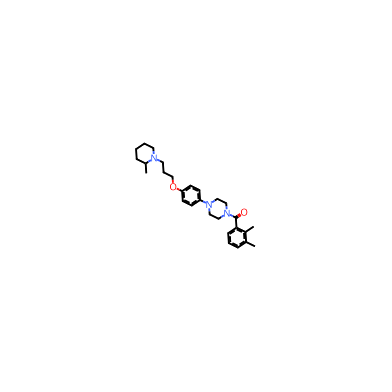 Cc1cccc(C(=O)N2CCN(c3ccc(OCCCN4CCCCC4C)cc3)CC2)c1C